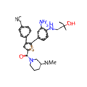 CNC1CCCN(C(=O)c2cc(-c3ccc(C#N)cc3)c(-c3ccc(NCC(C)(C)O)c(N)c3)s2)C1